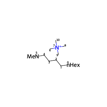 CCCCCCCCCCNC.C[N+](C)(C)C